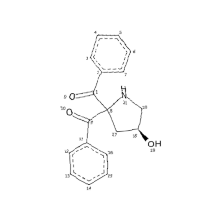 O=C(c1ccccc1)C1(C(=O)c2ccccc2)C[C@H](O)CN1